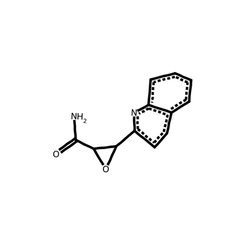 NC(=O)C1OC1c1ccc2ccccc2n1